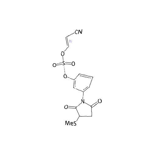 CSC1CC(=O)N(c2cccc(OS(=O)(=O)O/C=C/C#N)c2)C1=O